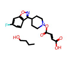 CCCCO.O=C(O)/C=C/C(=O)ON1CCC(c2noc3cc(F)ccc23)CC1